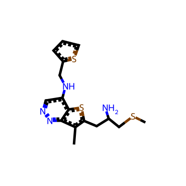 CSCC(N)Cc1sc2c(NCc3cccs3)cnnc2c1C